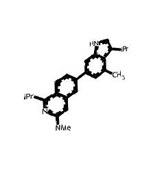 CNc1cc2cc(-c3cc(C)c4c(C(C)C)c[nH]c4c3)ccc2c(C(C)C)n1